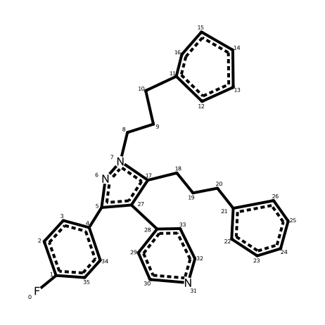 Fc1ccc(-c2nn(CCCc3ccccc3)c(CCCc3ccccc3)c2-c2ccncc2)cc1